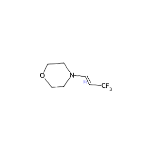 FC(F)(F)/C=C/N1CCOCC1